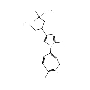 COC(C)(C)CC(CC(C)(C)C)c1cn(C2=CCC=C(C)C=C2)c(S)n1